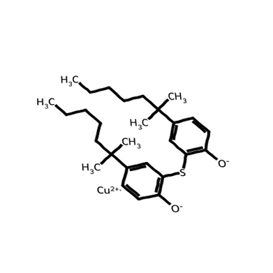 CCCCCC(C)(C)c1ccc([O-])c(Sc2cc(C(C)(C)CCCCC)ccc2[O-])c1.[Cu+2]